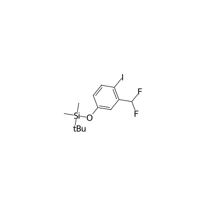 CC(C)(C)[Si](C)(C)Oc1ccc(I)c(C(F)F)c1